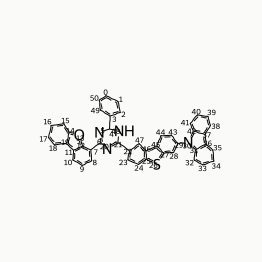 c1ccc(C2N=C(c3cccc4c3oc3ccccc34)N=C(c3ccc4sc5cc(-n6c7ccccc7c7ccccc76)ccc5c4c3)N2)cc1